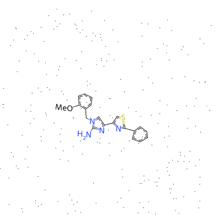 COc1ccccc1Cn1cc(-c2csc(-c3ccccc3)n2)nc1N